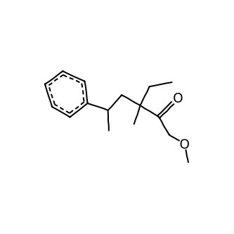 CCC(C)(CC(C)c1ccccc1)C(=O)COC